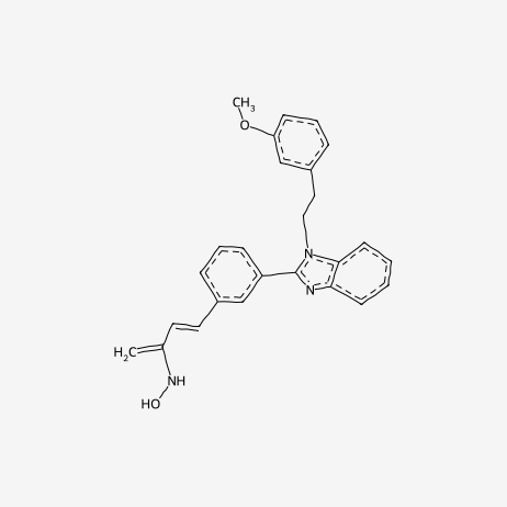 C=C(/C=C/c1cccc(-c2nc3ccccc3n2CCc2cccc(OC)c2)c1)NO